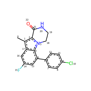 Cc1c2n(c3c(-c4ccc(Cl)cc4)cc(F)cc13)CCNC2=O